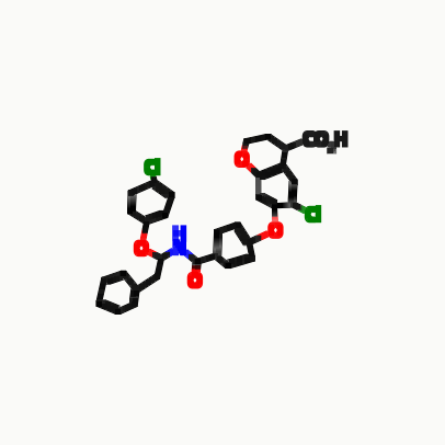 O=C(NC(Cc1ccccc1)Oc1ccc(Cl)cc1)c1ccc(Oc2cc3c(cc2Cl)C(C(=O)O)CCO3)cc1